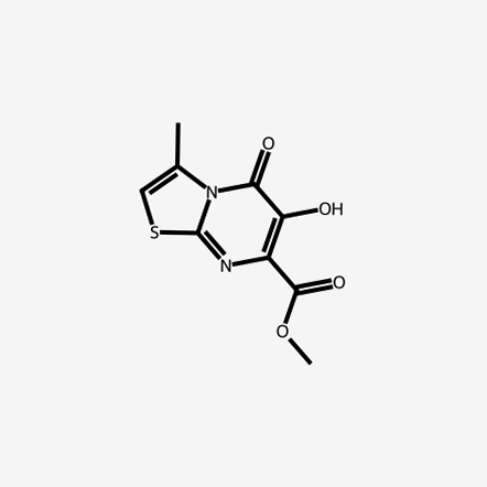 COC(=O)c1nc2scc(C)n2c(=O)c1O